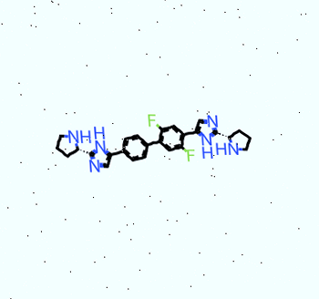 Fc1cc(-c2cnc([C@@H]3CCCN3)[nH]2)c(F)cc1-c1ccc(-c2cnc([C@@H]3CCCN3)[nH]2)cc1